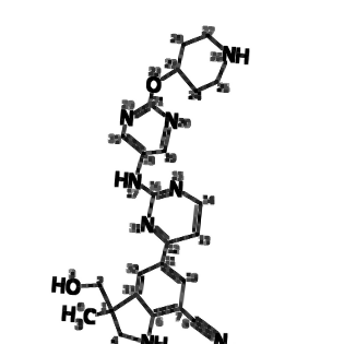 CC1(CO)CNc2c(C#N)cc(-c3ccnc(Nc4cnc(OC5CCNCC5)nc4)n3)cc21